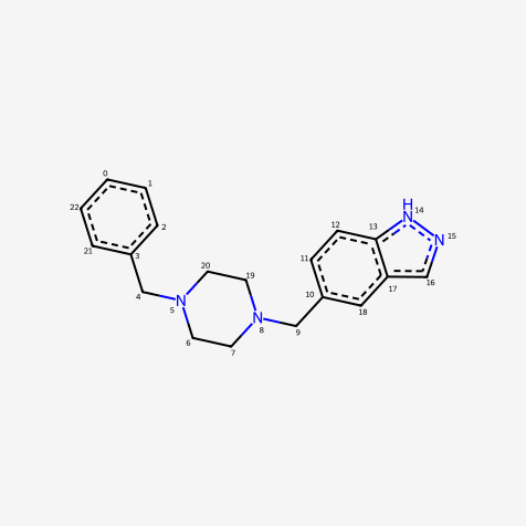 c1ccc(CN2CCN(Cc3ccc4[nH]ncc4c3)CC2)cc1